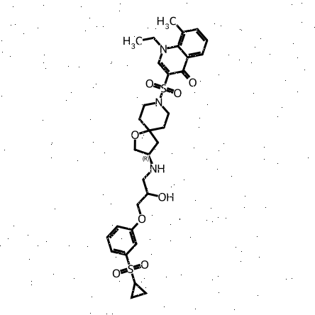 CCn1cc(S(=O)(=O)N2CCC3(CC2)C[C@@H](NCC(O)COc2cccc(S(=O)(=O)C4CC4)c2)CO3)c(=O)c2cccc(C)c21